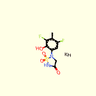 Cc1c(F)cc(N2CC(=O)NS2(=O)=O)c(O)c1F.[KH]